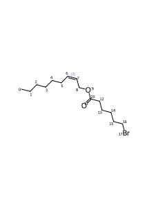 CCCCCC/C=C\COC(=O)CCCCCBr